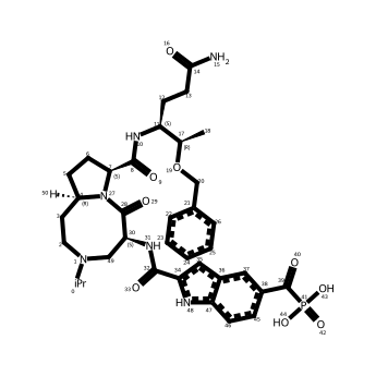 CC(C)N1CC[C@H]2CC[C@@H](C(=O)N[C@@H](CCC(N)=O)[C@@H](C)OCc3ccccc3)N2C(=O)[C@@H](NC(=O)c2cc3cc(C(=O)P(=O)(O)O)ccc3[nH]2)C1